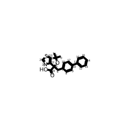 CC(C)(C)OC(Cc1ccc(-c2ccccc2)cc1)(C(=O)O)c1cscn1